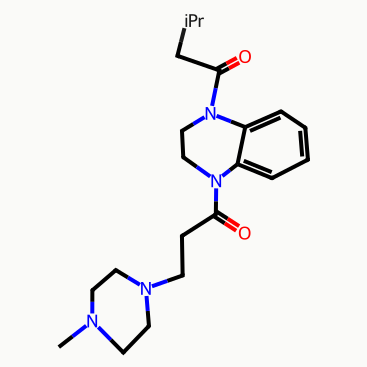 CC(C)CC(=O)N1CCN(C(=O)CCN2CCN(C)CC2)c2ccccc21